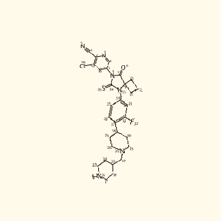 N#Cc1ncc(N2C(=O)C3(CCC3)N(c3ccc(C4CCN(CC5CCNCC5)CC4)c(F)c3)C2=S)cc1Cl